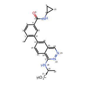 Cc1ccc(C(=O)NC2CC2)cc1-c1ccc2c(N[C@@H](C)C(=O)O)nncc2c1